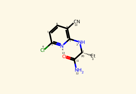 CC[C@@H](Nc1nc(Cl)ccc1C#N)C(N)=O